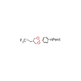 CCCCCc1ccc([C@H]2OC[C@H](CCC(F)(F)F)CO2)cc1